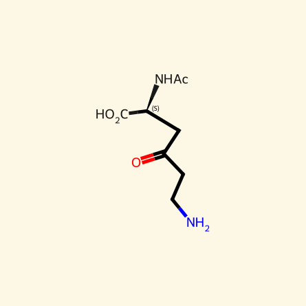 CC(=O)N[C@@H](CC(=O)CCN)C(=O)O